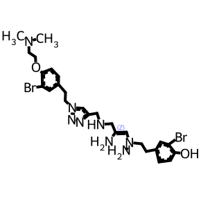 CN(C)CCOc1ccc(CCn2cc(CNC/C(N)=C/N(N)CCc3ccc(O)c(Br)c3)nn2)cc1Br